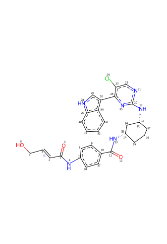 O=C(/C=C/CO)Nc1ccc(C(=O)N[C@H]2CCC[C@@H](Nc3ncc(Cl)c(-c4c[nH]c5ccccc45)n3)C2)cc1